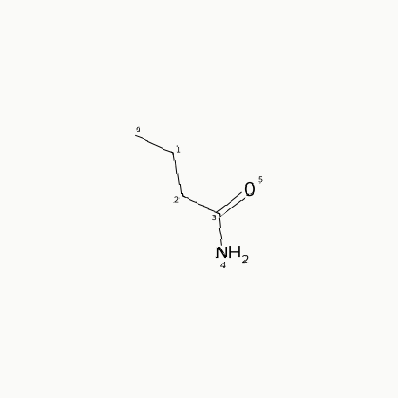 CCCC(N)=O